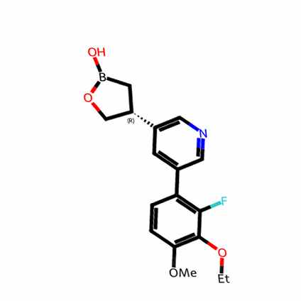 CCOc1c(OC)ccc(-c2cncc([C@@H]3COB(O)C3)c2)c1F